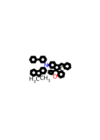 CC1(C)c2ccccc2-c2cc(N(c3cccc(-c4ccccc4)c3)c3ccc4c(c3)C3(c5ccccc5Oc5ccccc53)c3cc5ccccc5cc3-4)ccc21